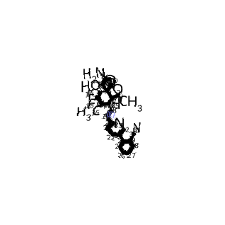 C[C@H]1OC(=O)[C@]2([C@H](O)C(N)=O)CC(F)(F)[C@@H](C)[C@H](/C=C/c3ccc(-c4ccccc4C#N)cn3)[C@H]12